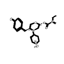 CCN(C)C(=O)O[C@@H]1CN(C2CCNCC2)[C@@H](Cc2ccc(Cl)cc2)CO1.Cl